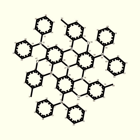 Cc1ccc2c(c1)B1c3cc(N(c4ccccc4)c4ccccc4)c4c5c3N3c6c(cc(N(c7ccccc7)c7ccccc7)c(c61)O2)B1c2cc(C)ccc2Oc2c(N(c6ccccc6)c6ccccc6)cc(c3c21)B5c1cc(C)ccc1O4